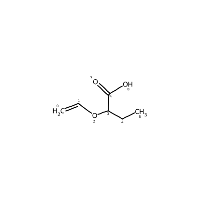 C=COC(CC)C(=O)O